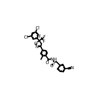 Cc1cc(C2=NOC(c3cc(Cl)cc(Cl)c3)(C(F)(F)F)C2)ccc1C(=O)N[S+]([O-])Cc1cccc(C#N)c1